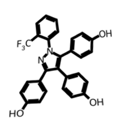 Oc1ccc(-c2nn(-c3ccccc3C(F)(F)F)c(-c3ccc(O)cc3)c2-c2ccc(O)cc2)cc1